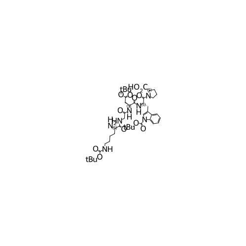 CC(C)(C)OC(=O)C[C@H](NC(=O)CNC(=O)[C@@H](N)CCCCNC(=O)OC(C)(C)C)C(=O)N[C@@H](Cc1cn(C(=O)OC(C)(C)C)c2ccccc12)C(=O)N1CCC[C@H]1C(=O)O